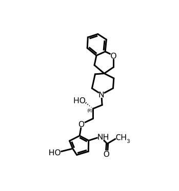 CC(=O)Nc1ccc(O)cc1OC[C@H](O)CN1CCC2(CC1)COc1ccccc1C2